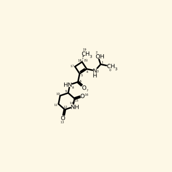 CC(O)NC1=C(C(=O)NC2CCC(=O)NC2=O)C[C@@H]1C